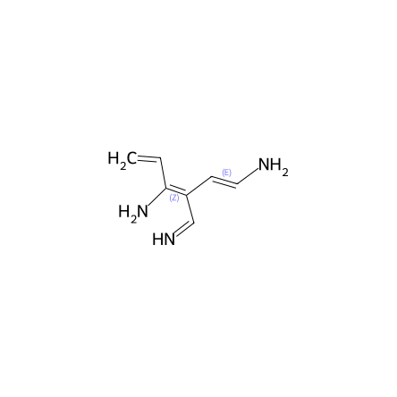 C=C/C(N)=C(C=N)\C=C\N